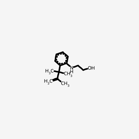 C=C(C)C(C)(C)c1ccccc1NCCO